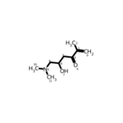 C=C(C)C(=O)CC(O)CN(C)C